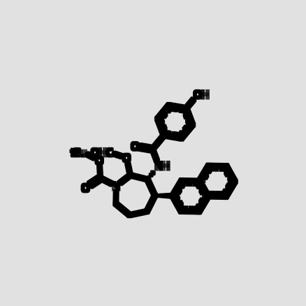 CC(C)(C)OC(=O)N1CCC[C@H](c2ccc3ccccc3c2)[C@@H](NC(=O)c2ccc(O)cc2)C1OC=O